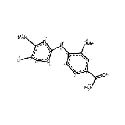 CNc1nc(Nc2ccc(C(N)=O)cc2OC)ncc1Cl